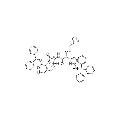 C=CCON=C(C(=O)N[C@@H]1C(=O)N2C(C(=O)OC(c3ccccc3)c3ccccc3)=C(CCl)CS[C@@H]12)c1csc(NC(c2ccccc2)(c2ccccc2)c2ccccc2)n1